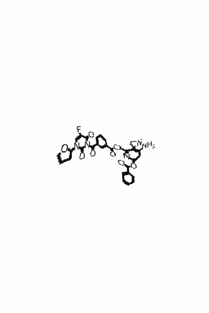 N#Cc1c(N)cc(OC(=O)c2ccccc2)nc1OC(=O)c1cccc(C(=O)n2c(=O)c(F)cn(C3CCCO3)c2=O)c1